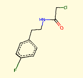 O=C(CCl)NCCc1ccc(F)cc1